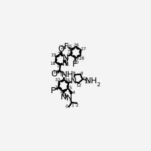 CC(C)n1cc2c(N3CC[C@@H](N)C3)c(NC(=O)c3ccc(=O)n(-c4c(F)cccc4F)n3)cc(F)c2n1